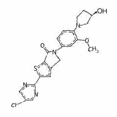 COc1cc(N2Cc3cc(-c4ncc(Cl)cn4)sc3C2=O)ccc1N1CC[C@@H](O)C1